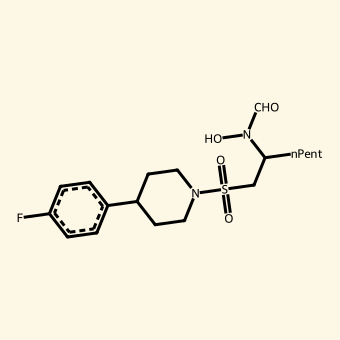 CCCCCC(CS(=O)(=O)N1CCC(c2ccc(F)cc2)CC1)N(O)C=O